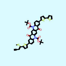 C#C/C=C(\SC)c1ccc(-c2ccc3c(c2)c(=O)c2cc4c(cc2n3C(=O)OC(C)(C)C)c(=O)c2cc(-c3ccc(-c5cccs5)s3)ccc2n4C(=O)OC(C)(C)C)s1